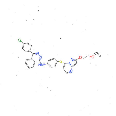 COCCOc1cc2nccc(Sc3ccc(Nc4nnc(-c5ccc(Cl)cc5)c5ccccc45)cc3)n2n1